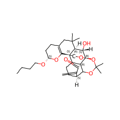 C=C1C(=O)[C@@]23C4OC(C)(C)O[C@]25OC[C@]2(C6=C(CC[C@@H](OCCCC)O6)CC(C)(C)[C@H]2[C@@H]5O)C3CC[C@@H]14